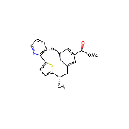 COC(=O)c1cc(C[C@H](C)c2ccc(-c3ccccn3)s2)cc(C(C)(C)C)c1